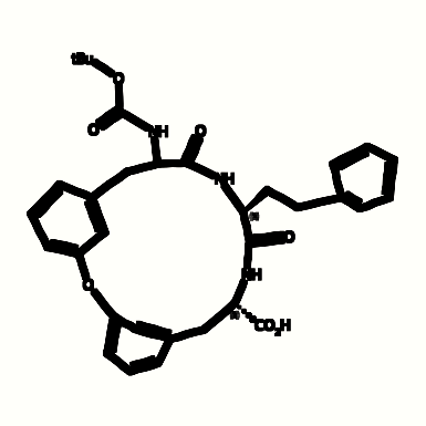 CC(C)(C)OC(=O)NC1Cc2cccc(c2)Oc2cccc(c2)C[C@@H](C(=O)O)NC(=O)[C@H](CCc2ccccc2)NC1=O